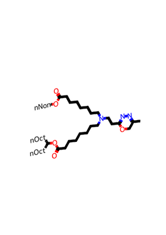 CCCCCCCCCOC(=O)CCCCCCCN(CCCCCCCC(=O)OC(CCCCCCCC)CCCCCCCC)CCC1=NN=C(C)CO1